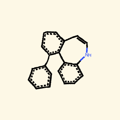 C1=Cc2cccc(-c3ccccc3)c2-c2ccccc2N1